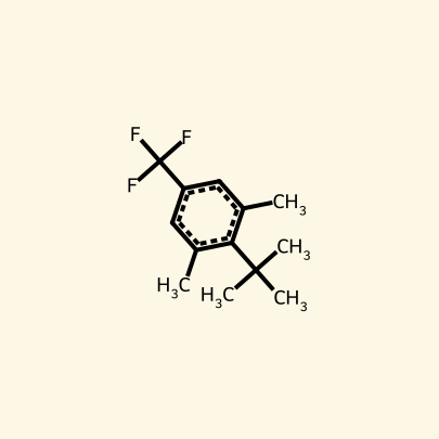 Cc1cc(C(F)(F)F)cc(C)c1C(C)(C)C